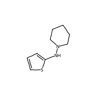 c1csc(NN2CCCCC2)c1